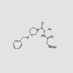 CC(=O)NCC(=O)N[C@H](C(=O)N1CC[C@@H](OCc2ccccc2)C1)C(C)C